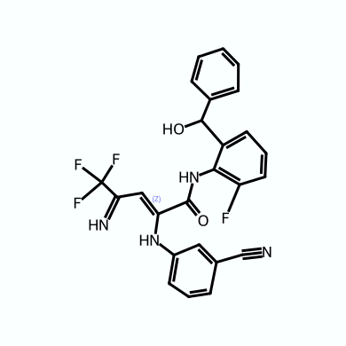 N#Cc1cccc(N/C(=C\C(=N)C(F)(F)F)C(=O)Nc2c(F)cccc2C(O)c2ccccc2)c1